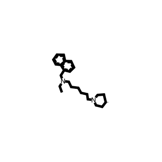 CCN(CCCCCCN1CC[CH]CC1)Cc1cccc2ccccc12